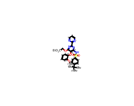 CCOC(=O)COc1nc(-c2ncccn2)nc(NS(=O)(=O)c2ccc(C(C(C)(C)C)(C(C)(C)C)C(C)(C)C)cc2)c1Oc1ccccc1OC(C)(C)C